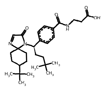 CC(C)(C)CC[C@H](c1ccc(C(=O)NCCC(=O)O)cc1)N1C(=O)C=NC12CCC(C(C)(C)C)CC2